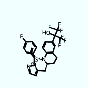 C=CCn1nccc1C[C@@H]1CCc2cc(C(O)(C(F)(F)F)C(F)(F)F)ccc2N1[S+]([O-])c1ccc(F)cc1